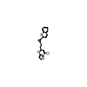 Clc1cc(CCC2CC2c2ccc3ccccc3n2)nc2ccnn12